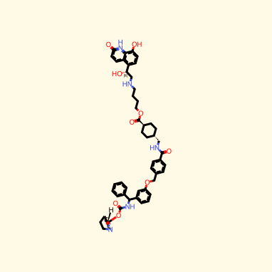 O=C(NC(c1ccccc1)c1cccc(OCc2ccc(C(=O)NC[C@H]3CC[C@H](C(=O)OCCCCNC[C@H](O)c4ccc(O)c5[nH]c(=O)ccc45)CC3)cc2)c1)O[C@H]1CN2CCC1CC2